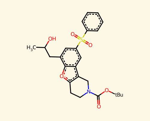 CC(O)Cc1cc(S(=O)(=O)c2ccccc2)cc2c3c(oc12)CCN(C(=O)OC(C)(C)C)C3